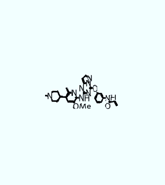 C=CC(=O)Nc1cccc(Oc2nc(Nc3nc(C)c(C4CCN(C)CC4)cc3OC)nc3ccnn23)c1